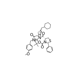 COc1ccc(CNC(=O)[C@H](CSCC2CCCCC2)NC(=O)[C@@H]2CSC(c3ccccc3)N2C(=O)OC(C)(C)C)cc1